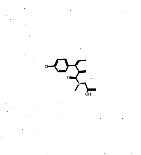 C=C(O)CN(C)C(=O)C(=C)/C(=C\C)c1ccc(Cl)cc1